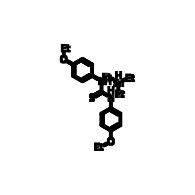 CCOc1ccc(NC(=S)Nc2ccc(OCC)cc2)cc1.C[CH2][SnH]([CH2]C)[CH2]C